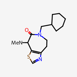 CNC1C(=O)N(CC2CCCCC2)CCc2ncsc21